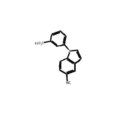 [C-]#[N+]c1ccc2c(ccn2-c2cccc(C(=O)OCC)c2)c1